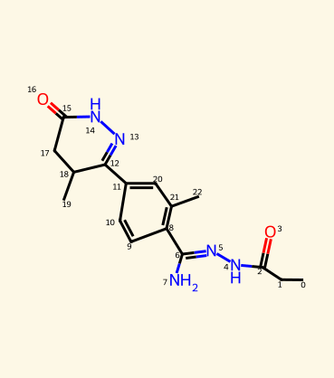 CCC(=O)NN=C(N)c1ccc(C2=NNC(=O)CC2C)cc1C